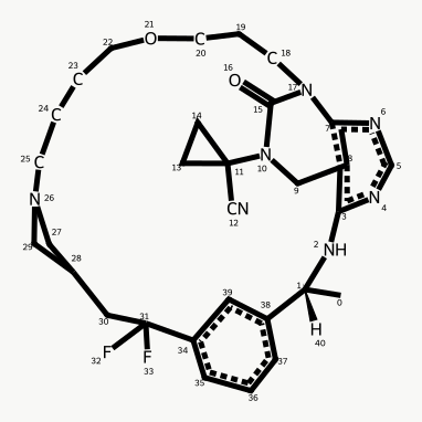 C[C@H]1Nc2ncnc3c2CN(C2(C#N)CC2)C(=O)N3CCCOCCCCN2CC(C2)CC(F)(F)c2cccc1c2